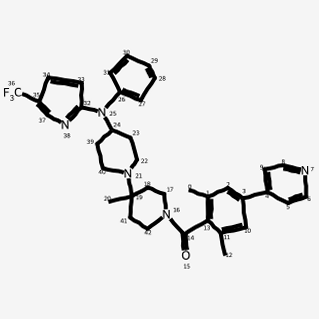 Cc1cc(-c2ccncc2)cc(C)c1C(=O)N1CCC(C)(N2CCC(N(c3ccccc3)c3ccc(C(F)(F)F)cn3)CC2)CC1